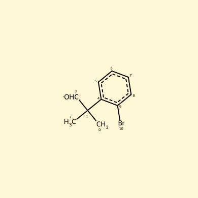 CC(C)([C]=O)c1ccccc1Br